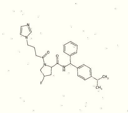 CC(C)c1ccc(C(NC(=O)C2CC(F)CN2C(=O)CCCn2ccnc2)c2ccccc2)cc1